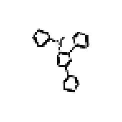 CN(c1ccccc1)c1ccc(-c2ccccc2)cc1-c1ccccc1